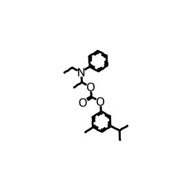 CCN(c1ccccc1)C(C)OC(=O)Oc1cc(C)cc(C(C)C)c1